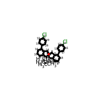 [CH3][Hf]([CH3])([CH3])([CH3])(=[SiH2])([CH]1C=Cc2c(-c3ccc(Cl)cc3)cccc21)[CH]1C=Cc2c(-c3ccc(Cl)cc3)cccc21